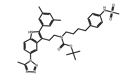 Cc1cc(C)cc(-c2[nH]c3ccc(-n4nnnc4C)cc3c2CCN(CCCCc2ccc(NS(C)(=O)=O)cc2)C(=O)OC(C)(C)C)c1